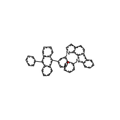 c1ccc(-c2c3ccccc3c(-c3cccc(-n4ccc5ccc6c7ccccc7n(-c7ccccc7)c6c54)c3)c3ccccc23)cc1